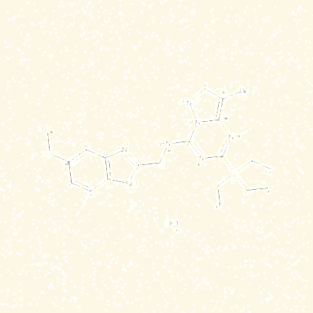 CCS(CC)(CC)c1nc(NCc2nc3cc(OC)ccc3[nH]2)n2ncc(Br)c2n1.Cl